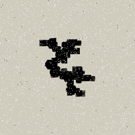 COC(=O)[C@@H](NCc1cc(Cl)c(OCc2cccc(-c3cccc(COc4cc(OCc5cncc(C=N)c5)c(CN[C@H](C(=O)OC)[C@H](C)O)cc4Cl)c3C)c2C)cc1OCc1cncc(C#N)c1)[C@H](C)O